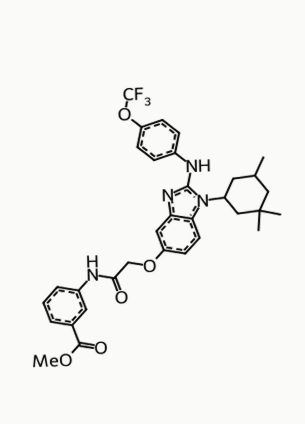 COC(=O)c1cccc(NC(=O)COc2ccc3c(c2)nc(Nc2ccc(OC(F)(F)F)cc2)n3C2CC(C)CC(C)(C)C2)c1